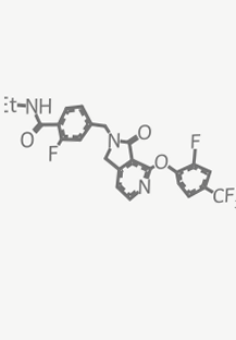 CCNC(=O)c1ccc(CN2Cc3ccnc(Oc4ccc(C(F)(F)F)cc4F)c3C2=O)cc1F